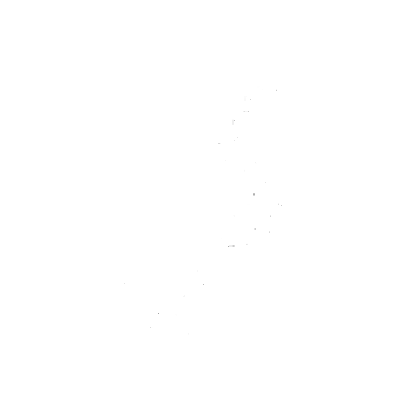 CN(CCO)C(=O)[C@@H]1CCCN(Cc2ccc(-c3cc4nccc(Oc5ccc(NC(=O)NC6CC6)cc5F)c4s3)nc2)C1